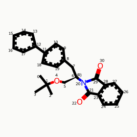 CC(C)(C)OC[C@@H](Cc1ccc(-c2ccccc2)cc1)N1C(=O)c2ccccc2C1=O